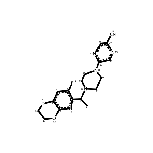 CC(c1nc2c(cc1F)OCCO2)N1CCN(c2cnc(C#N)cn2)CC1